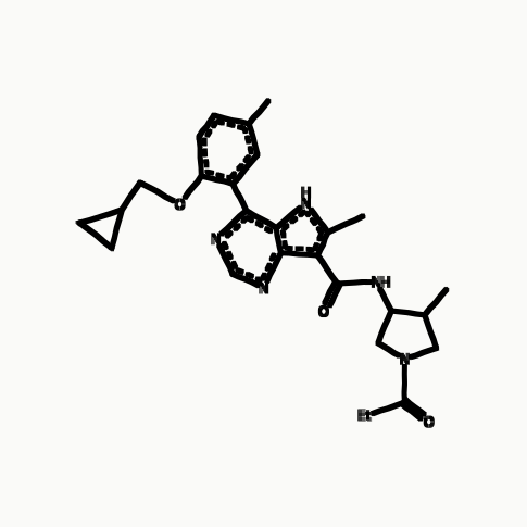 CCC(=O)N1CC(C)C(NC(=O)c2c(C)[nH]c3c(-c4cc(C)ccc4OCC4CC4)ncnc23)C1